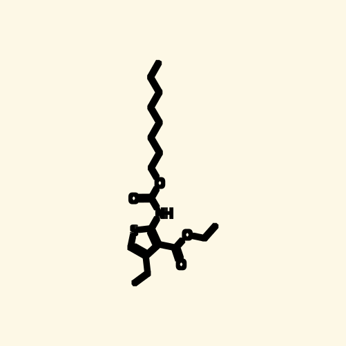 CCCCCCCCOC(=O)Nc1scc(CC)c1C(=O)OCC